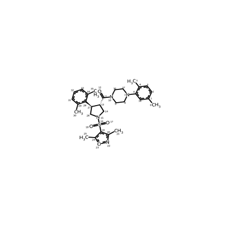 Cc1ccc(C)c(N2CCN(C(=O)[C@@H]3CN(S(=O)(=O)c4c(C)noc4C)C[C@H]3c3c(C)cccc3C)CC2)c1